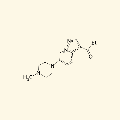 CCC(=O)c1cnn2cc(N3CCN(C)CC3)ccc12